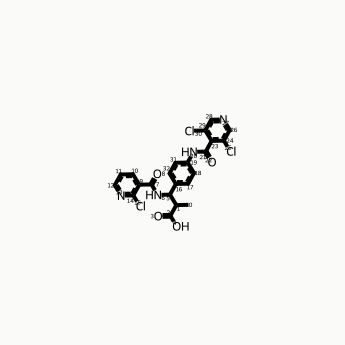 CC(C(=O)O)C(NC(=O)c1cccnc1Cl)c1ccc(NC(=O)c2c(Cl)cncc2Cl)cc1